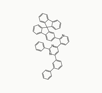 c1ccc(-c2cccc(-c3cc(-c4cccnc4-c4ccc5c(c4)C4(c6ccccc6-c6ccccc64)c4ccccc4-5)nc(-c4ccccc4)n3)c2)cc1